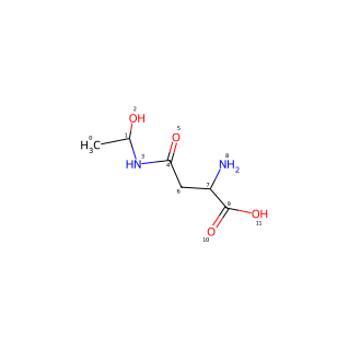 CC(O)NC(=O)CC(N)C(=O)O